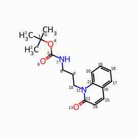 CC(C)(C)OC(=O)NCCCn1c(=O)ccc2ccccc21